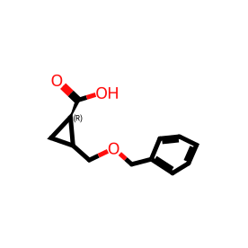 O=C(O)[C@@H]1CC1COCc1ccccc1